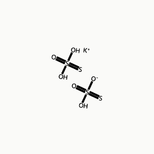 O=S(O)(O)=S.O=S([O-])(O)=S.[K+]